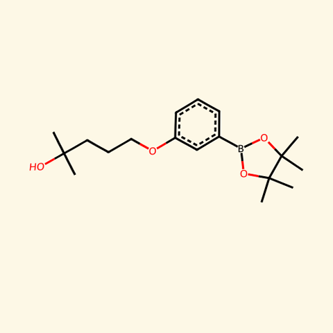 CC(C)(O)CCCOc1cccc(B2OC(C)(C)C(C)(C)O2)c1